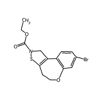 CCOC(=O)N1CC2=C(CCOc3cc(Br)ccc32)S1